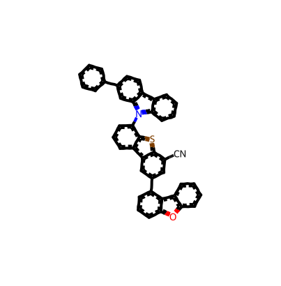 N#Cc1cc(-c2cccc3oc4ccccc4c23)cc2c1sc1c(-n3c4ccccc4c4ccc(-c5ccccc5)cc43)cccc12